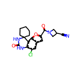 N#CC1CN(C(=O)c2cc3cc(Cl)c4c(c3o2)C2(CCCCC2)NC(=O)N4)C1